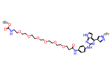 CCCn1cc(-c2nc(Nc3ccc(NC(=O)CCOCCOCCOCCOCCOCCOCCNC(=O)OC(C)(C)C)cc3)nc3[nH]ccc23)cn1